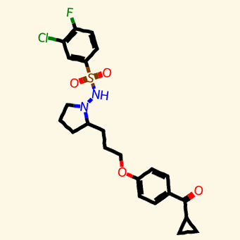 O=C(c1ccc(OCCCC2CCCN2NS(=O)(=O)c2ccc(F)c(Cl)c2)cc1)C1CC1